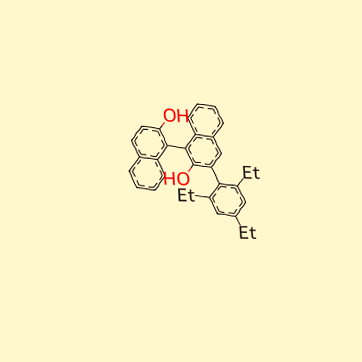 CCc1cc(CC)c(-c2cc3ccccc3c(-c3c(O)ccc4ccccc34)c2O)c(CC)c1